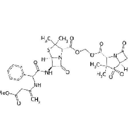 C=C(CC(=O)OC)NC(C(=O)N[C@@H]1C(=O)N2[C@@H]1SC(C)(C)[C@@H]2C(=O)OCOC(=O)[C@@H]1N2C(=O)C[C@H]2S(=O)(=O)C1(C)C)c1ccccc1